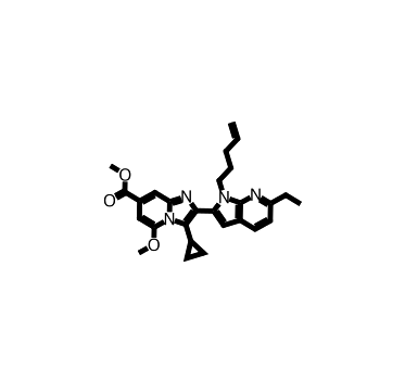 C=CCCCn1c(-c2nc3cc(C(=O)OC)cc(OC)n3c2C2CC2)cc2ccc(CC)nc21